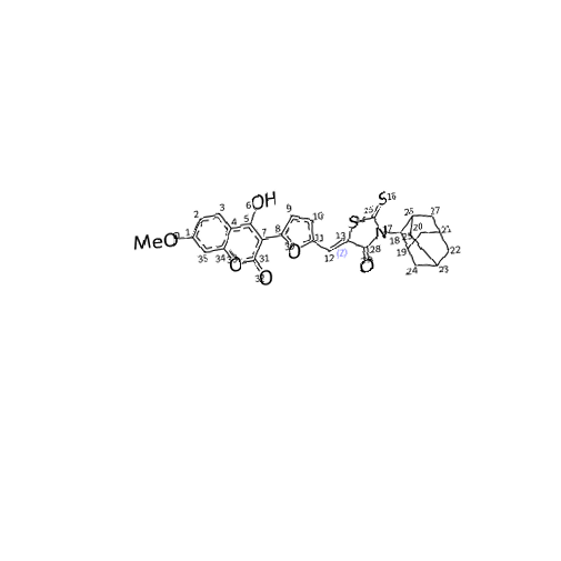 COc1ccc2c(O)c(-c3ccc(/C=C4\SC(=S)N(C5C6CC7CC(C6)CC5C7)C4=O)o3)c(=O)oc2c1